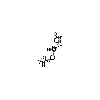 Cn1nc(Nc2cc([C@H]3CC[C@@H](OC(=O)NC(C)(C)C)C3)[nH]n2)ccc1=O